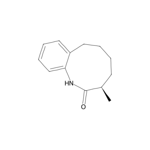 C[C@@H]1CCCCc2ccccc2NC1=O